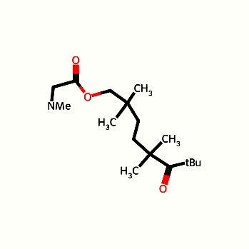 CNCC(=O)OCC(C)(C)CCC(C)(C)C(=O)C(C)(C)C